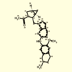 COc1cc2c(cc1Nc1ncc3cnn(C[C@@H]4[C@@H]5C[C@@H]5CN4C(C)=O)c3n1)CN(C)CC2